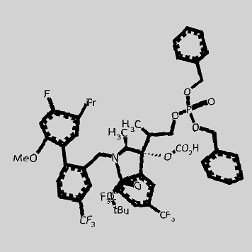 COc1cc(F)c(C(C)C)cc1-c1ccc(C(F)(F)F)cc1CN(C(=O)OC(C)(C)C)[C@@H](C)[C@](OC(=O)O)(c1cc(C(F)(F)F)cc(C(F)(F)F)c1)C(C)COP(=O)(OCc1ccccc1)OCc1ccccc1